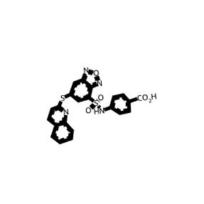 O=C(O)c1ccc(NS(=O)(=O)c2cc(Sc3ccc4ccccc4n3)cc3nonc23)cc1